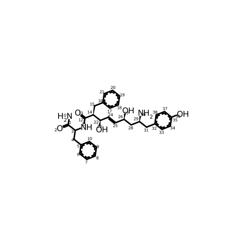 NC(=O)C(Cc1ccccc1)NC(=O)[C@@H](Cc1ccccc1)[C@H](O)/C=C/[C@@H](O)C[C@@H](N)Cc1ccc(O)cc1